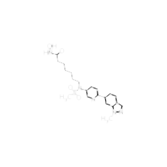 Cn1ncc2ccc(-c3ccc(N(CCCCCCC(=O)NO)S(C)(=O)=O)cn3)cc21